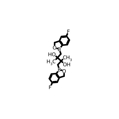 CC(O)(CB1OCc2cc(F)ccc21)C(C)(O)CB1OCc2cc(F)ccc21